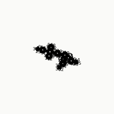 CC(C)(C)c1ccc(-c2c3ccccc3c(-c3ccc(-c4ccc5c6c4Oc4cc(C(C)(C)C)ccc4B6c4ccc(C(C)(C)C)cc4O5)cc3)c3ccccc23)cc1